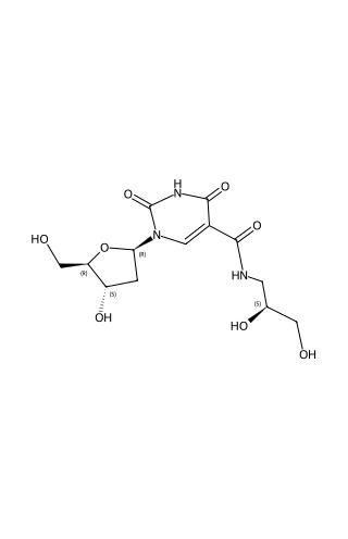 O=C(NC[C@H](O)CO)c1cn([C@H]2C[C@H](O)[C@@H](CO)O2)c(=O)[nH]c1=O